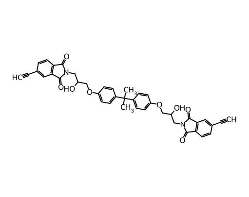 C#Cc1ccc2c(c1)C(=O)N(CC(O)COc1ccc(C(C)(C)c3ccc(OCC(O)CN4C(=O)c5ccc(C#C)cc5C4=O)cc3)cc1)C2=O